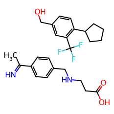 CC(=N)c1ccc(CNCCC(=O)O)cc1.OCc1ccc(C2CCCC2)c(C(F)(F)F)c1